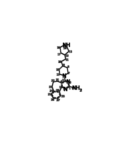 Nc1nc2c(c(N3CCC(CCC4CCNCC4)CC3)n1)CCCc1ccccc1-2